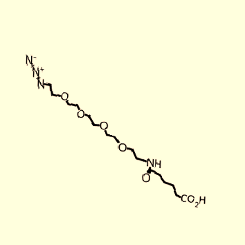 [N-]=[N+]=NCCOCCOCCOCCOCCNC(=O)CCCCC(=O)O